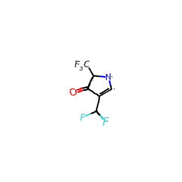 O=C1C(C(F)F)=[C][N]C1C(F)(F)F